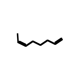 C=CCCC/C=C\C